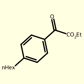 CCCCCCc1ccc(C(=O)C(=O)OCC)cc1